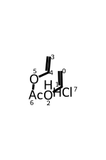 C=CO.C=COC(C)=O.Cl